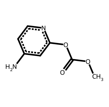 COC(=O)Oc1cc(N)ccn1